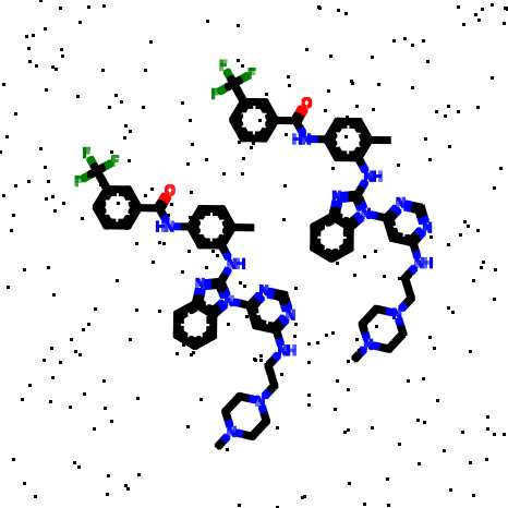 Cc1ccc(NC(=O)c2cccc(C(F)(F)F)c2)cc1Nc1nc2ccccc2n1-c1cc(NCCN2CCN(C)CC2)ncn1.Cc1ccc(NC(=O)c2cccc(C(F)(F)F)c2)cc1Nc1nc2ccccc2n1-c1cc(NCCN2CCN(C)CC2)ncn1